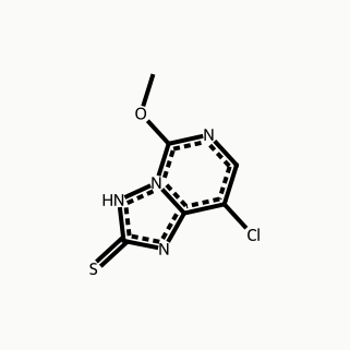 COc1ncc(Cl)c2nc(=S)[nH]n12